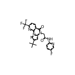 CC(C)(C)c1cc2n(CC(=O)Nc3ccc(F)cn3)c(=O)c3ccc(C(F)(F)F)nc3n2n1